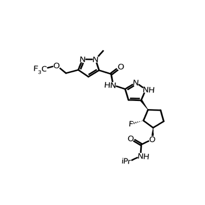 CC(C)NC(=O)O[C@@H]1CC[C@H](c2cc(NC(=O)c3cc(COC(F)(F)F)nn3C)n[nH]2)[C@H]1F